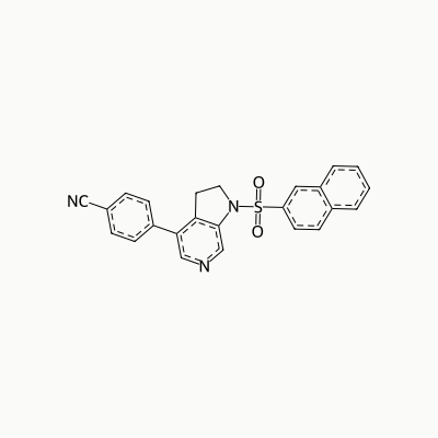 N#Cc1ccc(-c2cncc3c2CCN3S(=O)(=O)c2ccc3ccccc3c2)cc1